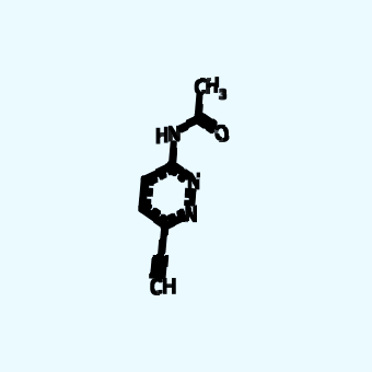 C#Cc1ccc(NC(C)=O)nn1